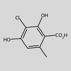 Cc1cc(O)c(Cl)c(O)c1C(=O)O